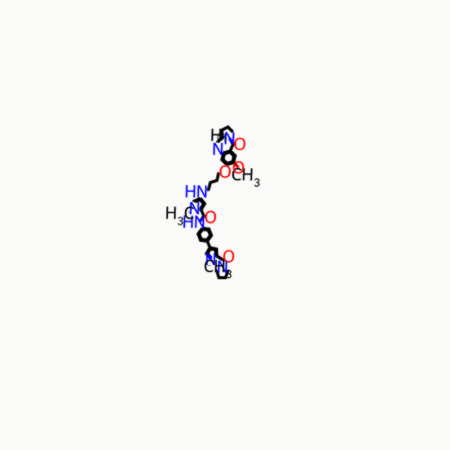 COc1cc2c(cc1OCCCCNc1cc(C(=O)Nc3ccc(-c4cc(C(=O)N5CCCC5)n(C)c4)cc3)n(C)c1)N=C[C@@H]1CCCN1C2=O